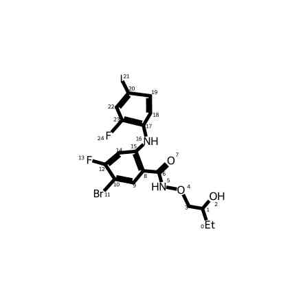 CCC(O)CONC(=O)c1cc(Br)c(F)cc1Nc1ccc(I)cc1F